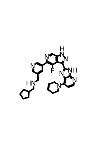 Fc1c(-c2cncc(CNCC3CCCC3)c2)ncc2[nH]nc(-c3nc4c(N5CCCCC5)ccnc4[nH]3)c12